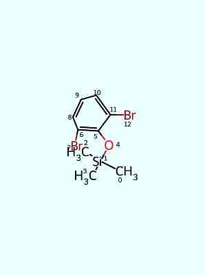 C[Si](C)(C)Oc1c(Br)cccc1Br